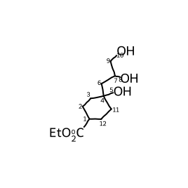 CCOC(=O)C1CCC(O)(CC(O)CO)CC1